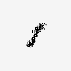 COC(=O)N[C@H](C(=O)N1CCC[C@H]1c1ncc(-c2ccc(-c3ccc4cc(-c5cnc([C@@H]6CCCN6)[nH]5)ccc4c3)cc2)[nH]1)C(C)C